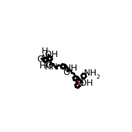 CC(Cc1ccc(NC(=O)CCCc2ccc(-c3ccccc3)c(N(C(=O)O)[C@H]3CC[C@H](N)CC3)c2)cc1)NCC(O)c1ccc(O)c2[nH]c(=O)ccc12